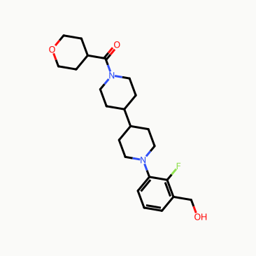 O=C(C1CCOCC1)N1CCC(C2CCN(c3cccc(CO)c3F)CC2)CC1